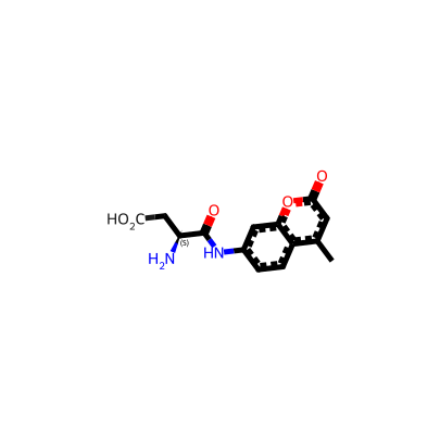 Cc1cc(=O)oc2cc(NC(=O)[C@@H](N)CC(=O)O)ccc12